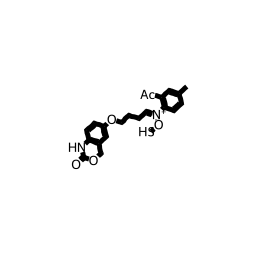 CC(=O)c1cc(C)ccc1[N+](=CCCCOc1ccc2c(c1)COC(=O)N2)OS